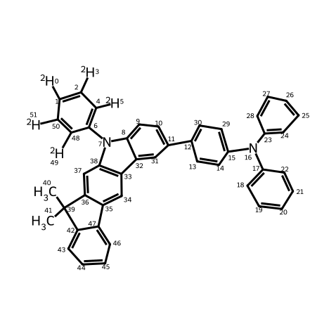 [2H]c1c([2H])c([2H])c(-n2c3ccc(-c4ccc(N(c5ccccc5)c5ccccc5)cc4)cc3c3cc4c(cc32)C(C)(C)c2ccccc2-4)c([2H])c1[2H]